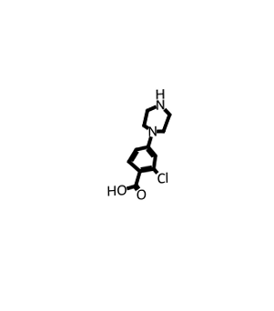 O=C(O)c1ccc(N2CCNCC2)cc1Cl